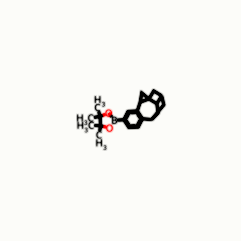 CC1(C)OB(c2ccc3c(c2)C2CC24CC2CC3CC24)OC1(C)C